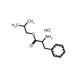 CC(C)COC(=O)C(N)Cc1ccccc1.Cl